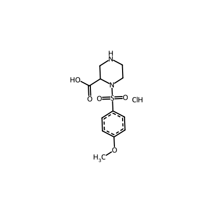 COc1ccc(S(=O)(=O)N2CCNCC2C(=O)O)cc1.Cl